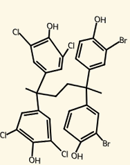 CC(CCC(C)(c1ccc(O)c(Br)c1)c1ccc(O)c(Br)c1)(c1cc(Cl)c(O)c(Cl)c1)c1cc(Cl)c(O)c(Cl)c1